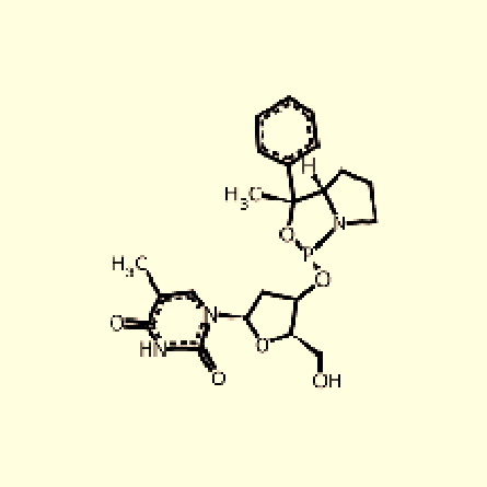 Cc1cn([C@H]2CC(O[P@@]3O[C@](C)(c4ccccc4)[C@@H]4CCCN43)[C@@H](CO)O2)c(=O)[nH]c1=O